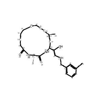 Cc1cccc(CNCC(O)C2C[C@H](C)CCCCCCCCC(=O)N[C@@H](C)C(=O)N2)c1